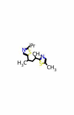 Cc1cnc(C(C)CC(C)c2cnc(C(C)C)s2)s1